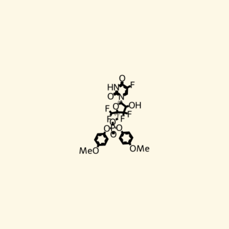 COc1ccc(OP(=O)(OC[C@]2(C(F)F)O[C@H](n3cc(F)c(=O)[nH]c3=O)C(O)C2(F)F)Oc2ccc(OC)cc2)cc1